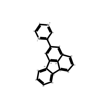 [c]1c(-c2cnccn2)cc2cccc3c2c1-c1ccccc1-3